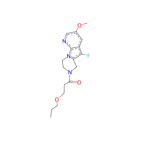 CCCOCCC(=O)N1CCn2c(c(F)c3cc(OC)cnc32)C1